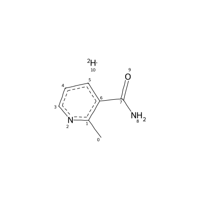 Cc1ncccc1C(N)=O.[2H]